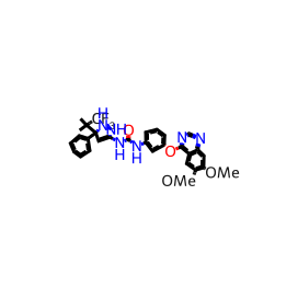 COc1cc2ncnc(Oc3cccc(NC(=O)NC4=CC(c5ccccc5)(C(C)(C)C(F)(F)F)NN4)c3)c2cc1OC